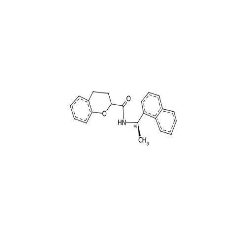 C[C@@H](NC(=O)C1CCc2ccccc2O1)c1cccc2ccccc12